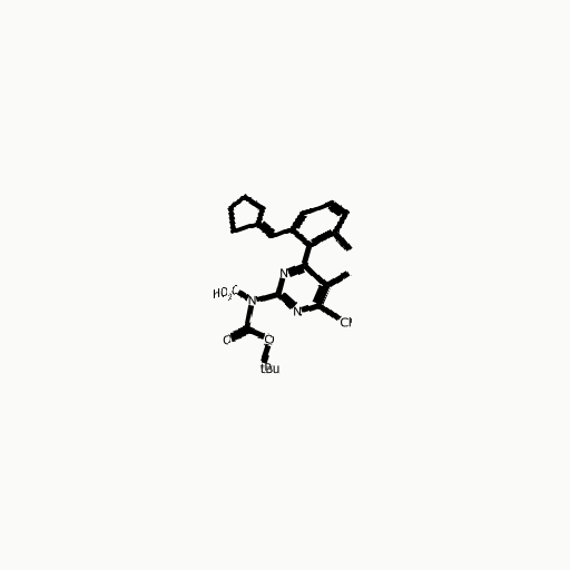 Cc1cccc(C=C2CCCC2)c1-c1nc(N(C(=O)O)C(=O)OC(C)(C)C)nc(Cl)c1C